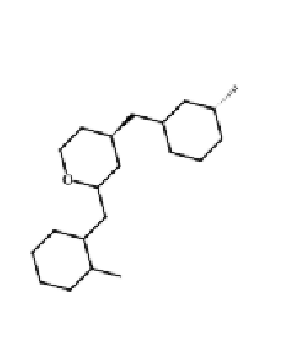 CC1CCCCC1CC1C[C@H](CC2CCC[C@@H](C)C2)CCO1